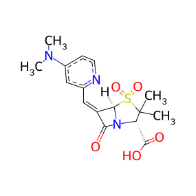 CN(C)c1ccnc(/C=C2/C(=O)N3[C@@H](C(=O)O)C(C)(C)S(=O)(=O)[C@H]23)c1